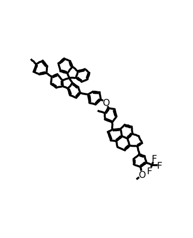 COc1ccc(C2=CCc3ccc4c(-c5ccc(Oc6ccc(-c7ccc8c(c7)C7(c9ccccc9-c9ccccc97)c7cc(-c9ccc(C)cc9)ccc7-8)cc6)c(C)c5)ccc5c4c3C2=CC5)cc1C(F)(F)F